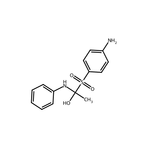 CC(O)(Nc1ccccc1)S(=O)(=O)c1ccc(N)cc1